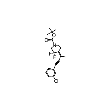 CC(C#Cc1cccc(Cl)c1)=C1CCN(C(=O)OC(C)(C)C)CC1(F)F